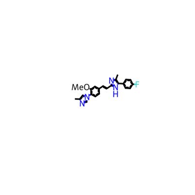 COc1cc(C=Cc2nc(C)c(-c3ccc(F)cc3)[nH]2)ccc1-n1cnc(C)c1